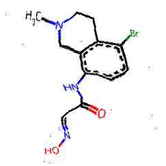 CN1CCc2c(Br)ccc(NC(=O)/C=N/O)c2C1